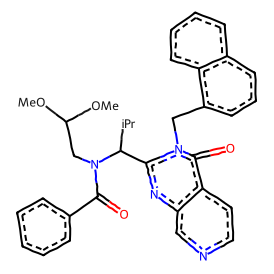 COC(CN(C(=O)c1ccccc1)C(c1nc2cnccc2c(=O)n1Cc1cccc2ccccc12)C(C)C)OC